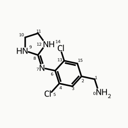 NCc1cc(Cl)c(N=C2NCCN2)c(Cl)c1